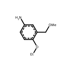 CCOc1ccc(N)cc1COC